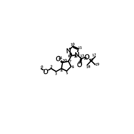 COCCC1CCC(c2nccn2C(=O)OC(C)(C)C)C1=O